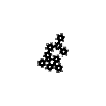 c1ccc(-c2nc(-c3ccccc3)nc(-c3cccc(-c4ccc5c(c4)c4c(n5-c5ccccc5)-c5ccccc5N(c5ccccc5)c5ccccc5-4)c3)n2)cc1